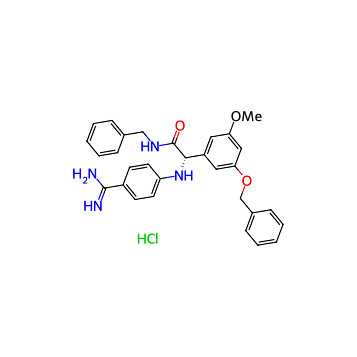 COc1cc(OCc2ccccc2)cc([C@H](Nc2ccc(C(=N)N)cc2)C(=O)NCc2ccccc2)c1.Cl